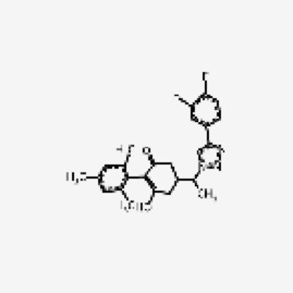 Cc1cc(C)c(C2=C(O)CC(C(C)n3cc(-c4ccc(F)c(F)c4)nn3)CC2=O)c(C)c1